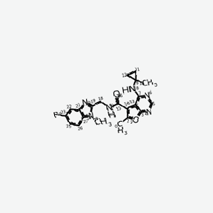 Cc1oc2ncnc(NC3(C)CC3)c2c1C(=O)NCc1nc2cc(F)ccc2n1C